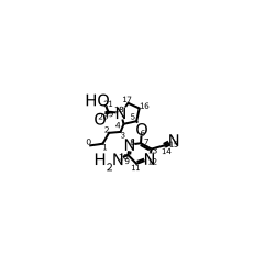 CCCCC1C(Oc2nc(N)cnc2C#N)CCN1C(=O)O